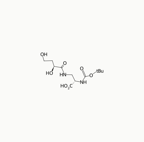 CC(C)(C)OC(=O)N[C@@H](CNC(=O)[C@@H](O)CCO)C(=O)O